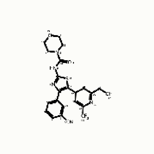 N#Cc1cccc(-c2nc(NC(=O)N3CCOCC3)sc2C2C=C(C(F)(F)F)N=C(CO)C2)c1